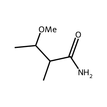 COC(C)C(C)C(N)=O